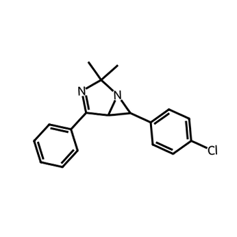 CC1(C)N=C(c2ccccc2)C2C(c3ccc(Cl)cc3)N21